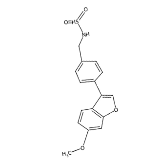 COc1ccc2c(-c3ccc(CN[SH](=O)=O)cc3)coc2c1